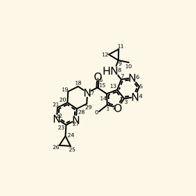 Cc1oc2ncnc(NC3(C)CC3)c2c1C(=O)N1CCc2cnc(C3CC3)nc2C1